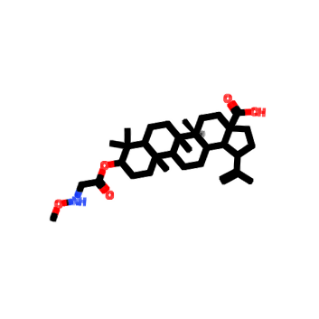 C=C(C)C1CCC2(C(=O)O)CC[C@]3(C)C(CCC4C5(C)CCC(OC(=O)CNOC)C(C)(C)C5CCC43C)C12